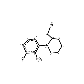 O=[N+]([O-])c1c(Cl)ncnc1N1CCCCC1CO